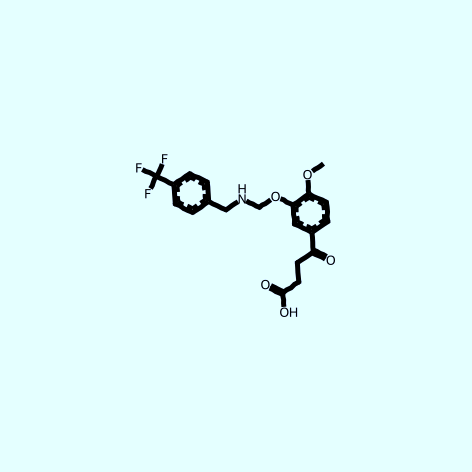 COc1ccc(C(=O)CCC(=O)O)cc1OCNCc1ccc(C(F)(F)F)cc1